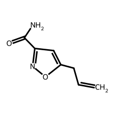 C=CCc1cc(C(N)=O)no1